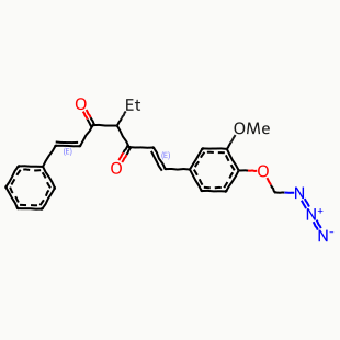 CCC(C(=O)/C=C/c1ccccc1)C(=O)/C=C/c1ccc(OCN=[N+]=[N-])c(OC)c1